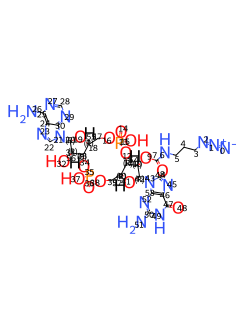 [N-]=[N+]=NCCCNC(=O)O[C@@H]1[C@@H]2OP(=O)(O)OC[C@H]3O[C@@H](n4cnc5c(N)ncnc54)[C@H](O)[C@@H]3OP(=O)(O)OC[C@H]2O[C@H]1n1cnc2c(=O)[nH]c(N)nc21